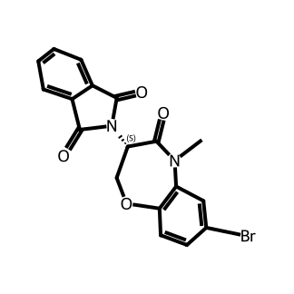 CN1C(=O)[C@@H](N2C(=O)c3ccccc3C2=O)COc2ccc(Br)cc21